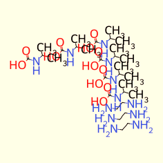 CC(C)NC(=O)O.CC(C)NC(=O)O.CC(C)NC(=O)O.CC(C)NC(=O)O.CC(C)NC(=O)O.CC(C)NC(=O)O.NCCN.NCCN.NCCN